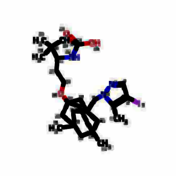 Cc1c(I)cnn1CC12CC3(C)CC(C)(C1)CC(OCCC(NC(=O)O)C(C)(C)C)(C3)C2